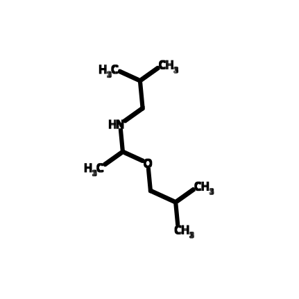 CC(C)CNC(C)OCC(C)C